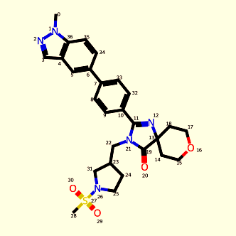 Cn1ncc2cc(-c3ccc(C4=NC5(CCOCC5)C(=O)N4CC4CCN(S(C)(=O)=O)C4)cc3)ccc21